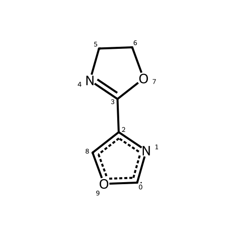 [c]1nc(C2=NCCO2)co1